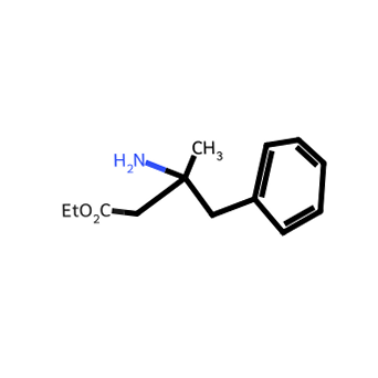 CCOC(=O)CC(C)(N)Cc1ccccc1